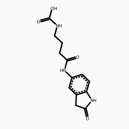 O=C(O)NCCCC(=O)Nc1ccc2c(c1)CC(=O)N2